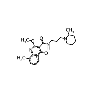 COc1nc2c(C)cccn2c(=O)c1C(=O)NCCCN1CCCCC1C